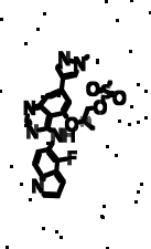 C[C@H](COS(C)(=O)=O)Oc1cc(-c2cnn(C)c2)cc2ncnc(Nc3ccc4ncccc4c3F)c12